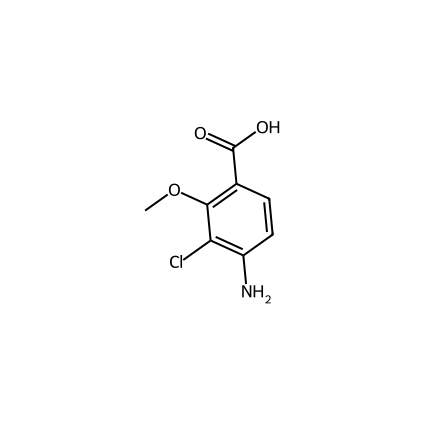 COc1c(C(=O)O)ccc(N)c1Cl